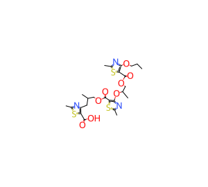 CCCOc1nc(C)sc1C(=O)OCC(C)Oc1nc(C)sc1C(=O)OCC(C)Cc1nc(C)sc1C(=O)O